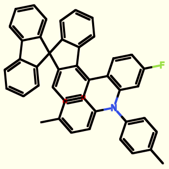 Cc1ccc(N(c2ccc(C)cc2)c2cc(F)ccc2-c2cccc3c2-c2ccccc2C32c3ccccc3-c3ccccc32)cc1